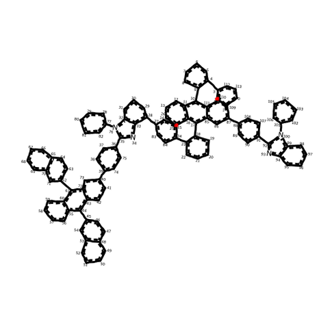 c1ccc(-c2ccccc2-c2c3ccccc3c(-c3ccccc3-c3ccc(-c4cccc5c4nc(-c4ccc(-c6ccc7c(-c8ccc9ccccc9c8)c8ccccc8c(-c8ccc9ccccc9c8)c7c6)cc4)n5-c4ccccc4)cc3)c3cc(-c4ccc(-c5nc6ccccc6n5-c5ccccc5)cc4)ccc23)cc1